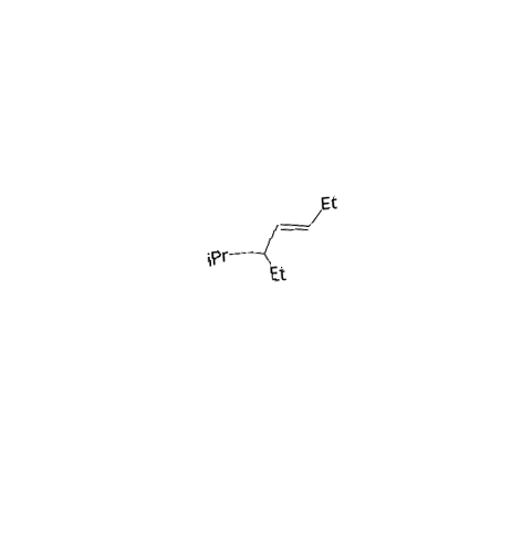 [CH2]C(C)C(C=CCC)CC